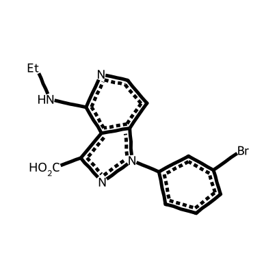 CCNc1nccc2c1c(C(=O)O)nn2-c1cccc(Br)c1